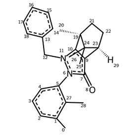 Cc1cccc(-n2c(=O)c3c(n2Cc2ccccc2)[C@@]2(C)CC[C@@H]3C2(C)C)c1C